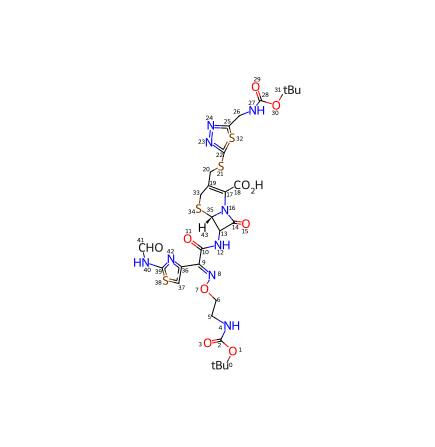 CC(C)(C)OC(=O)NCCON=C(C(=O)NC1C(=O)N2C(C(=O)O)=C(CSc3nnc(CNC(=O)OC(C)(C)C)s3)CS[C@@H]12)c1csc(NC=O)n1